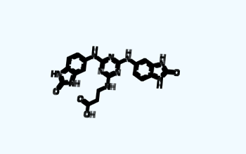 O=C(O)CCNc1nc(Nc2ccc3[nH]c(=O)[nH]c3c2)nc(Nc2ccc3[nH]c(=O)[nH]c3c2)n1